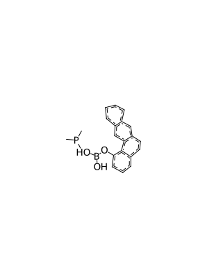 CP(C)C.OB(O)Oc1cccc2ccc3cc4ccccc4cc3c12